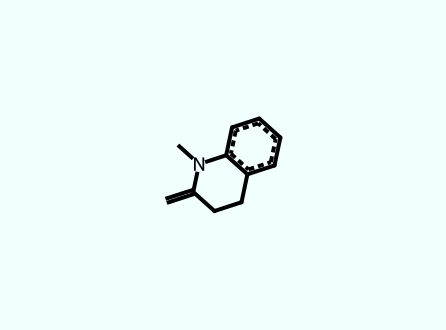 C=C1CCc2ccccc2N1C